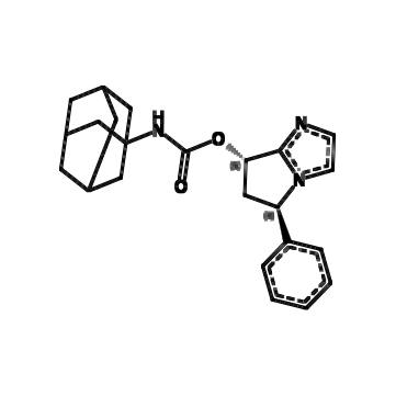 O=C(NC12CC3CC(CC(C3)C1)C2)O[C@H]1C[C@H](c2ccccc2)n2ccnc21